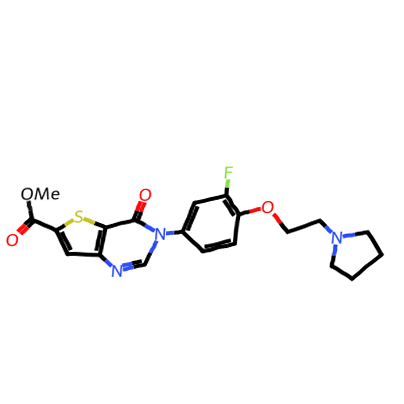 COC(=O)c1cc2ncn(-c3ccc(OCCN4CCCC4)c(F)c3)c(=O)c2s1